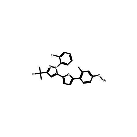 Cc1cc(OC(C)C)ccc1-c1ccc(-c2cc(C(C)(C)O)nn2-c2ccccc2Cl)s1